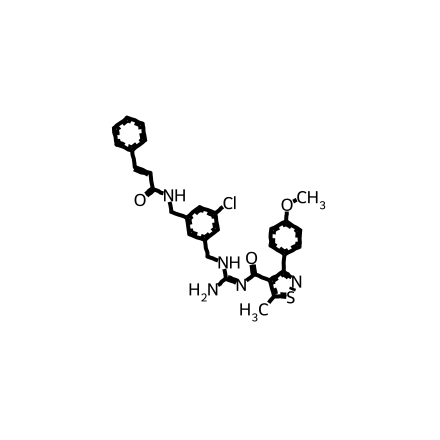 COc1ccc(-c2nsc(C)c2C(=O)N=C(N)NCc2cc(Cl)cc(CNC(=O)/C=C/c3ccccc3)c2)cc1